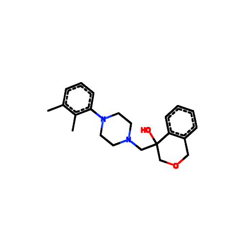 Cc1cccc(N2CCN(CC3(O)COCc4ccccc43)CC2)c1C